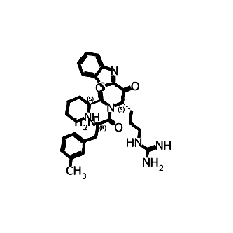 Cc1cccc(C[C@@H](N)C(=O)N(C(=O)[C@@H]2CCCCN2)[C@@H](CCCNC(=N)N)C(=O)c2nc3ccccc3s2)c1